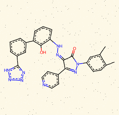 Cc1ccc(N2N=C(c3ccncc3)C(=NNc3cccc(-c4cccc(-c5nnn[nH]5)c4)c3O)C2=O)cc1C